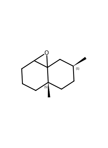 C[C@H]1CC[C@]2(C)CCCC3OC32C1